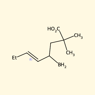 BC(/C=C/CC)CC(C)(C)C(=O)O